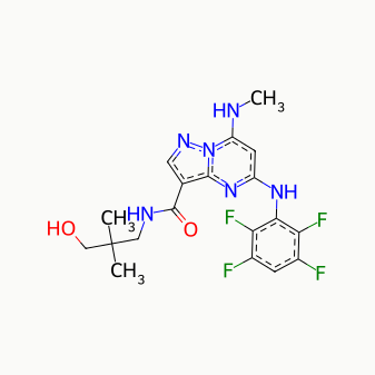 CNc1cc(Nc2c(F)c(F)cc(F)c2F)nc2c(C(=O)NCC(C)(C)CO)cnn12